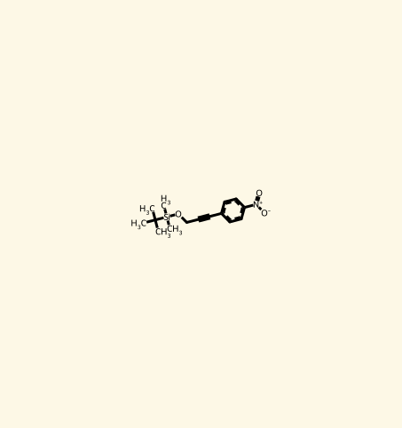 CC(C)(C)[Si](C)(C)OCC#Cc1ccc([N+](=O)[O-])cc1